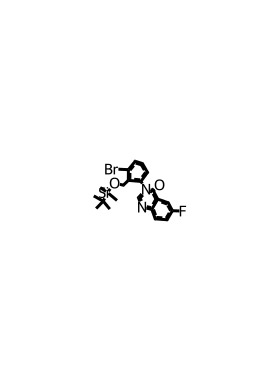 CC(C)(C)[Si](C)(C)OCc1c(Br)cccc1-n1cnc2ccc(F)cc2c1=O